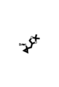 CC1(C)OCC(CC2(SBr)CC2)O1